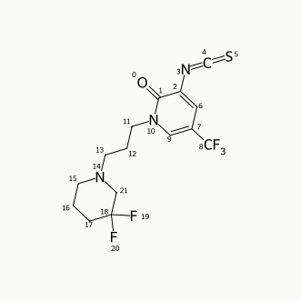 O=c1c(N=C=S)cc(C(F)(F)F)cn1CCCN1CCCC(F)(F)C1